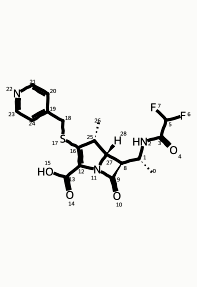 C[C@@H](NC(=O)C(F)F)[C@H]1C(=O)N2C(C(=O)O)=C(SCc3ccncc3)[C@H](C)[C@H]12